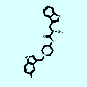 N[C@@H](Cc1c[nH]c2ccccc12)C(=O)NC1CCN(Cc2c[nH]c3ccc(Cl)cc23)CC1